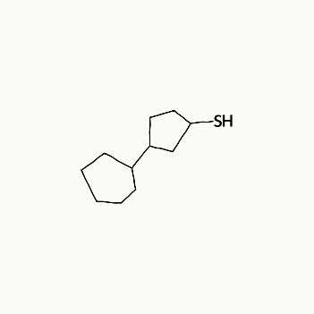 SC1CCC(C2CCCCC2)C1